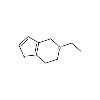 CCN1CCc2sccc2C1